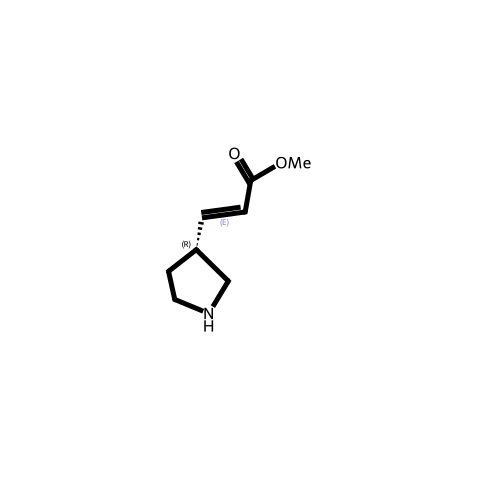 COC(=O)/C=C/[C@H]1CCNC1